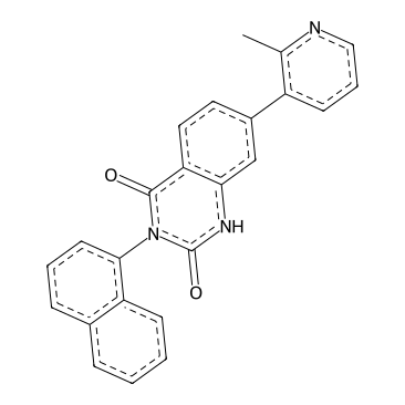 Cc1ncccc1-c1ccc2c(=O)n(-c3cccc4ccccc34)c(=O)[nH]c2c1